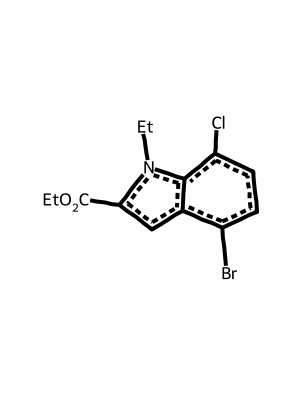 CCOC(=O)c1cc2c(Br)ccc(Cl)c2n1CC